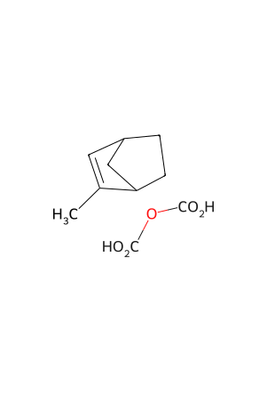 CC1=CC2CCC1C2.O=C(O)OC(=O)O